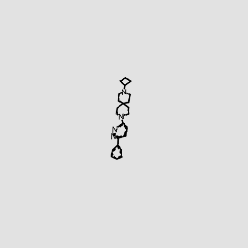 c1ccc(-c2ccc(N3CCC4(CC3)CCN(C3CCC3)CC4)nn2)cc1